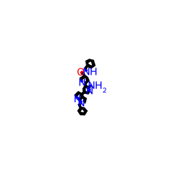 Nc1ncc(-c2ccnc3c2ccn3Cc2ccccc2)cc1-c1ccc(C(=O)NCc2ccccc2)cn1